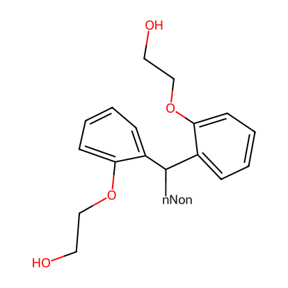 CCCCCCCCCC(c1ccccc1OCCO)c1ccccc1OCCO